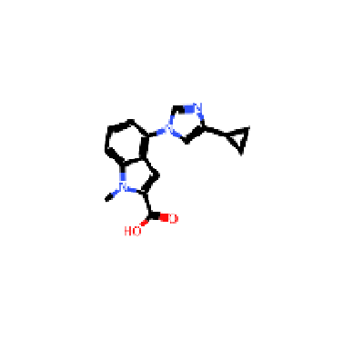 Cn1c(C(=O)O)cc2c(-n3cnc(C4CC4)c3)cccc21